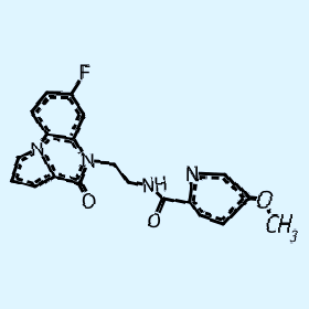 COc1ccc(C(=O)NCCn2c(=O)c3cccn3c3ccc(F)cc32)nc1